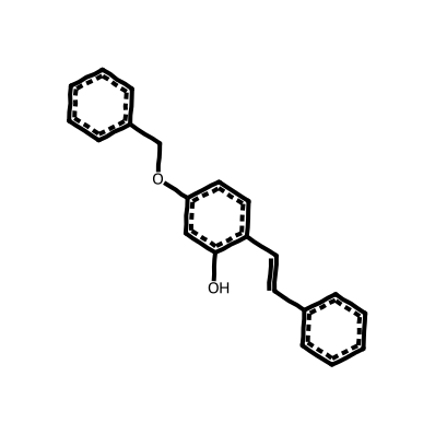 Oc1cc(OCc2ccccc2)ccc1C=Cc1ccccc1